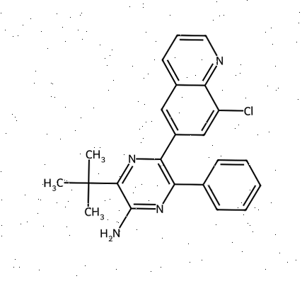 CC(C)(C)c1nc(-c2cc(Cl)c3ncccc3c2)c(-c2ccccc2)nc1N